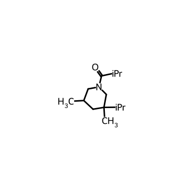 CC1CN(C(=O)C(C)C)CC(C)(C(C)C)C1